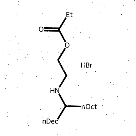 Br.CCCCCCCCCCC(CCCCCCCC)NCCOC(=O)CC